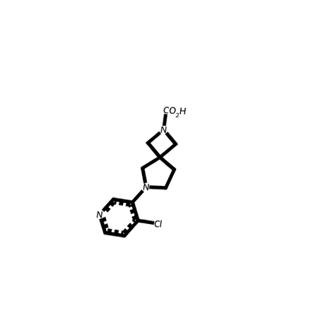 O=C(O)N1CC2(CCN(c3cnccc3Cl)C2)C1